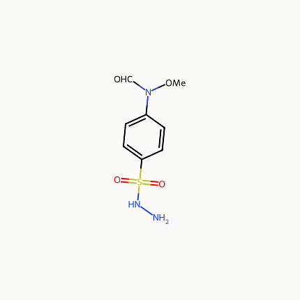 CON(C=O)c1ccc(S(=O)(=O)NN)cc1